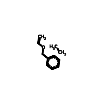 C=COCc1ccccc1.CC